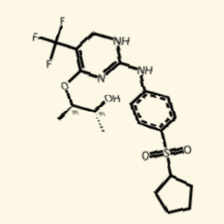 C[C@@H](O)[C@@H](C)OC1=C(C(F)(F)F)CNC(Nc2ccc(S(=O)(=O)C3CCCC3)cc2)=N1